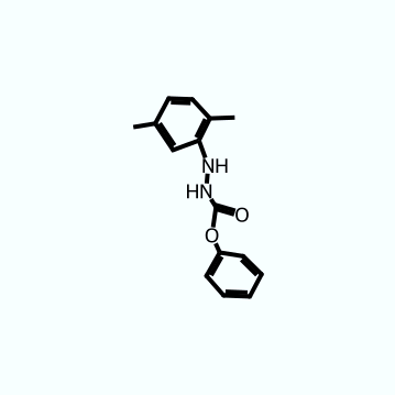 Cc1ccc(C)c(NNC(=O)Oc2ccccc2)c1